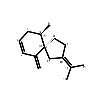 C=C1C=CC[C@@H](C)[C@]12CCC(=C(C)C)C2